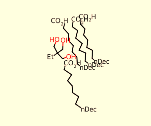 CCC(CO)(CO)CO.CCCCCCCCCCCCCCCCCC(=O)O.CCCCCCCCCCCCCCCCCC(=O)O.CCCCCCCCCCCCCCCCCC(=O)O.CCCCCCCCCCCCCCCCCC(=O)O